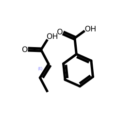 C/C=C/C(=O)O.O=C(O)c1ccccc1